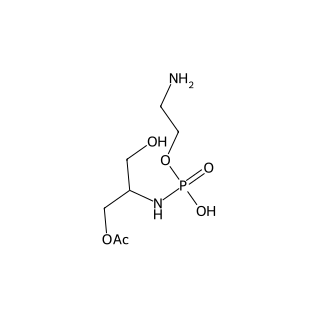 CC(=O)OCC(CO)NP(=O)(O)OCCN